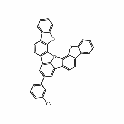 N#Cc1cccc(-c2cc3c4ccc5c6ccccc6oc5c4n4c3c(c2)c2ccc3c5ccccc5oc3c24)c1